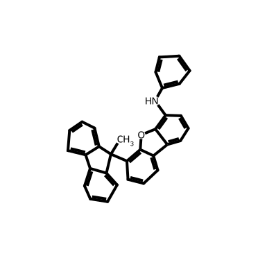 CC1(c2cccc3c2oc2c(Nc4ccccc4)cccc23)c2ccccc2-c2ccccc21